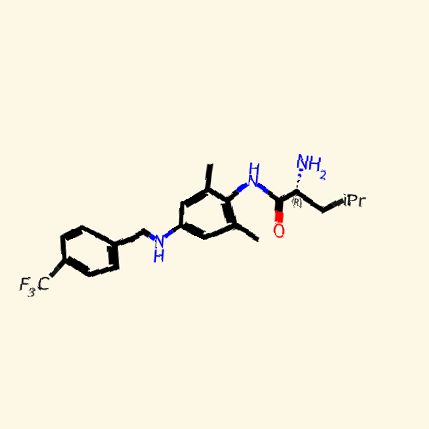 Cc1cc(NCc2ccc(C(F)(F)F)cc2)cc(C)c1NC(=O)[C@H](N)CC(C)C